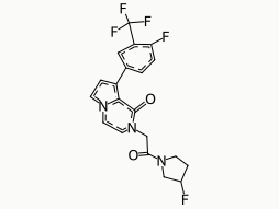 O=C(Cn1ccn2ccc(-c3ccc(F)c(C(F)(F)F)c3)c2c1=O)N1CCC(F)C1